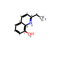 Oc1cccc2ccc(CC(F)(F)F)nc12